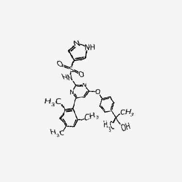 Cc1cc(C)c(-c2cc(Oc3ccc(C(C)(C)O)cc3)nc(NS(=O)(=O)c3cn[nH]c3)n2)c(C)c1